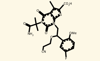 COc1ccc(F)cc1C(Cn1c(=O)n(C(C)(C)C(N)=O)c(=O)c2c(C)c(C(=O)O)sc21)OCCC#N